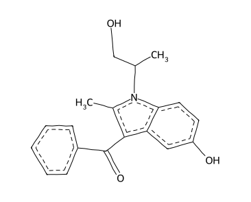 Cc1c(C(=O)c2ccccc2)c2cc(O)ccc2n1C(C)CO